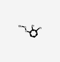 CC(C)c1cccc(OOC(C)(C)C)c1C(C)C